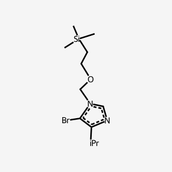 CC(C)c1ncn(COCC[Si](C)(C)C)c1Br